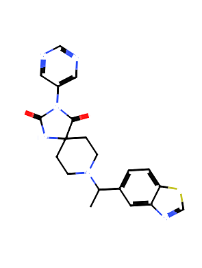 CC(c1ccc2scnc2c1)N1CCC2(CC1)NC(=O)N(c1cncnc1)C2=O